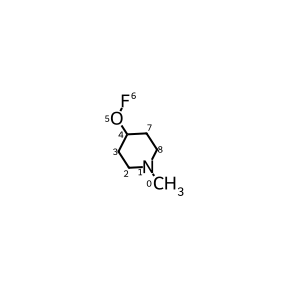 CN1CCC(OF)CC1